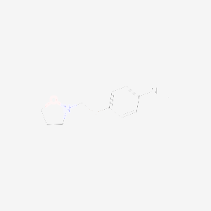 O=[N+]([O-])c1ccc(SCN2CCCO2)cc1